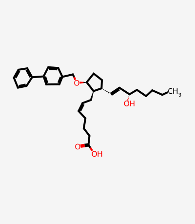 CCCCC[C@H](O)/C=C/[C@H]1CC[C@H](OCc2ccc(-c3ccccc3)cc2)[C@@H]1C/C=C\CCCC(=O)O